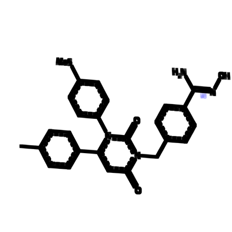 CSc1ccc(-n2c(-c3ccc(C)cc3)cc(=O)n(Cc3ccc(/C(N)=N/O)cc3)c2=O)cc1